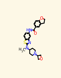 CN(c1nc2cc(NC(=O)c3ccc4c(c3)CCO4)ccc2s1)C1CCN(C2COC2)CC1